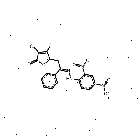 O=C1OC(C/C(=N/Nc2ccc([N+](=O)[O-])cc2[N+](=O)[O-])c2ccccc2)C(Cl)=C1Cl